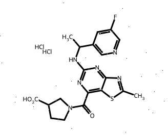 Cc1nc2nc(NC(C)c3cncc(F)c3)nc(C(=O)N3CCC(C(=O)O)C3)c2s1.Cl.Cl